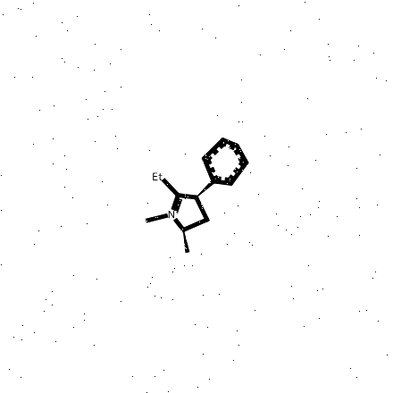 CCC1=[N+](C)[C@H](C)C[C@@H]1c1ccccc1